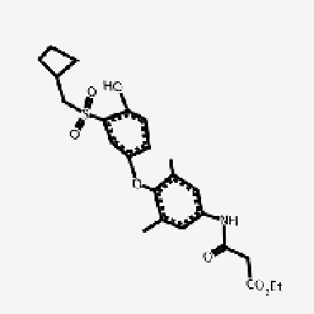 CCOC(=O)CC(=O)Nc1cc(C)c(Oc2ccc(O)c(S(=O)(=O)CC3CCC3)c2)c(C)c1